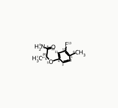 Cc1ccc(O[C@H](C)C(N)=O)cc1F